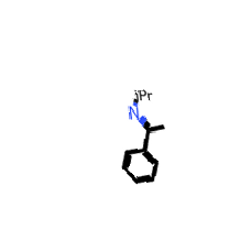 CC(=NC(C)C)c1ccccc1